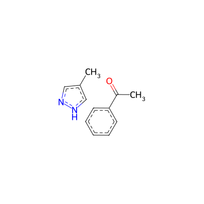 CC(=O)c1ccccc1.Cc1cn[nH]c1